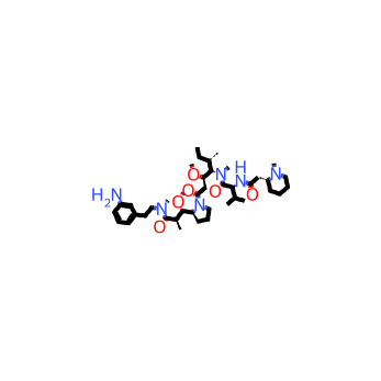 CC[C@H](C)[C@@H]([C@@H](CC(=O)N1CCC[C@H]1[C@H](OC)[C@@H](C)C(=O)N(C)CCc1cccc(N)c1)OC)N(C)C(=O)[C@@H](NC(=O)C[C@H]1CCCCN1C)C(C)C